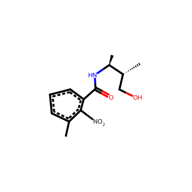 Cc1cccc(C(=O)N[C@@H](C)[C@H](C)CO)c1[N+](=O)[O-]